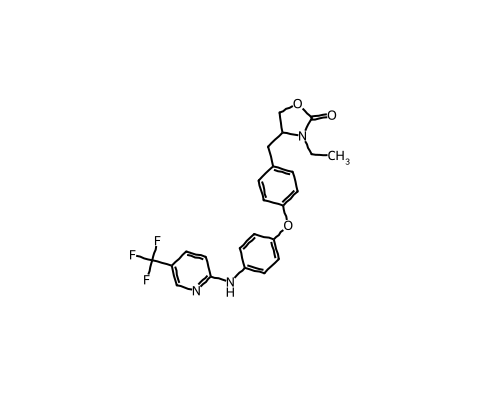 CCN1C(=O)OCC1Cc1ccc(Oc2ccc(Nc3ccc(C(F)(F)F)cn3)cc2)cc1